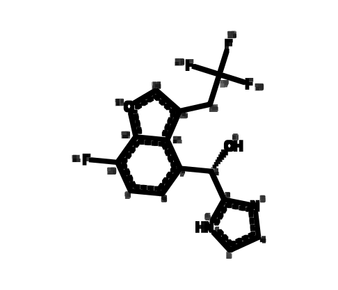 O[C@H](c1ncc[nH]1)c1ccc(F)c2occ(CC(F)(F)F)c12